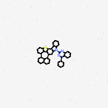 c1ccc(-c2nc(-n3c4ccccc4c4c5sc6cccc7c6c5c(cc43)-c3cccc4cccc-7c34)nc3ccccc23)cc1